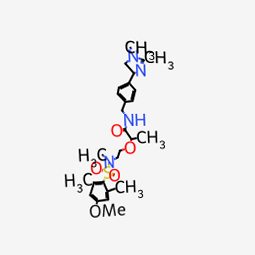 COc1cc(C)c(S(=O)(=O)N(C)CCOC(C)C(=O)NCc2ccc(C3CN(C)C(C)=N3)cc2)c(C)c1